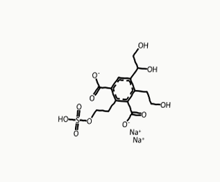 O=C([O-])c1cc(C(O)CO)c(CCO)c(C(=O)[O-])c1CCOS(=O)(=O)O.[Na+].[Na+]